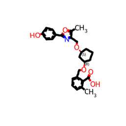 Cc1cccc(CO[C@@H]2CCC[C@H](OCc3nc(-c4ccc(O)cc4)oc3C)C2)c1C(=O)O